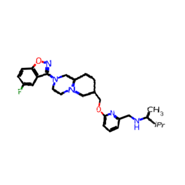 CC(C)C(C)NCc1cccc(OCC2CCC3CN(c4noc5ccc(F)cc45)CCN3C2)n1